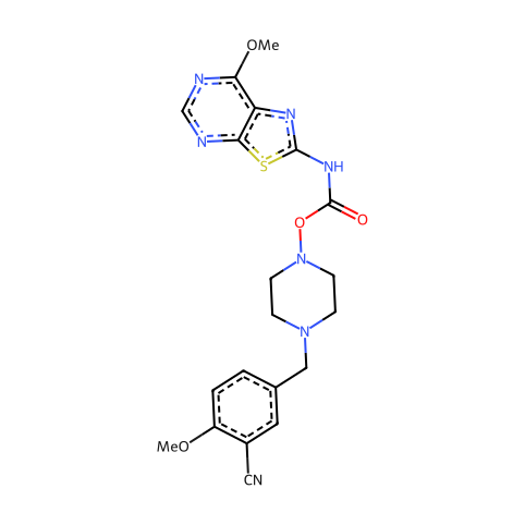 COc1ccc(CN2CCN(OC(=O)Nc3nc4c(OC)ncnc4s3)CC2)cc1C#N